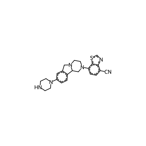 N#Cc1ccc(N2CCN3Cc4cc(N5CCNCC5)ccc4C3C2)c2scnc12